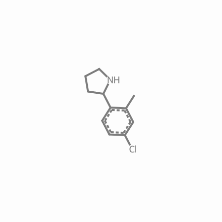 Cc1cc(Cl)ccc1C1CCCN1